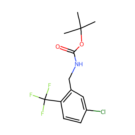 CC(C)(C)OC(=O)NCc1cc(Cl)ccc1C(F)(F)F